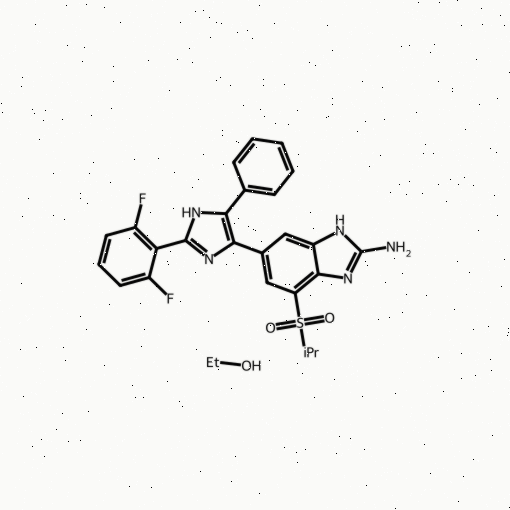 CC(C)S(=O)(=O)c1cc(-c2nc(-c3c(F)cccc3F)[nH]c2-c2ccccc2)cc2[nH]c(N)nc12.CCO